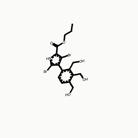 CCCOC(=O)c1[nH]c(Br)c(-c2ccc(CO)c(CO)c2CO)c1Br